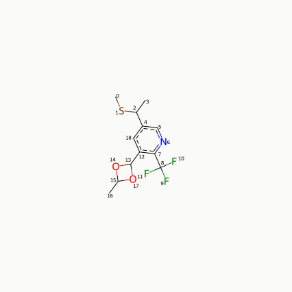 CSC(C)c1cnc(C(F)(F)F)c(C2OC(C)O2)c1